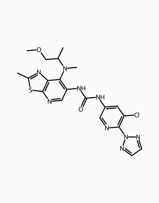 COCC(C)N(C)c1c(NC(=O)Nc2cnc(-n3nccn3)c(Cl)c2)cnc2sc(C)nc12